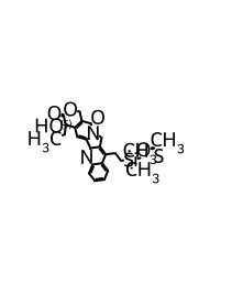 CC[C@@]1(O)C(=O)OCc2c1cc1n(c2=O)Cc2c-1nc1ccccc1c2CC[Si](C)(C)COC(C)=S